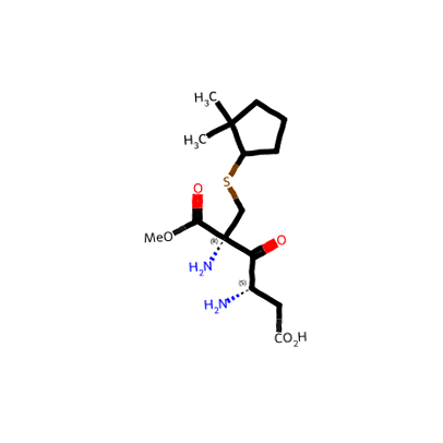 COC(=O)[C@@](N)(CSC1CCCC1(C)C)C(=O)[C@@H](N)CC(=O)O